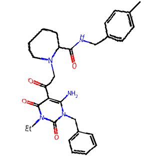 CCn1c(=O)c(C(=O)CN2CCCCC2C(=O)NCc2ccc(C)cc2)c(N)n(Cc2ccccc2)c1=O